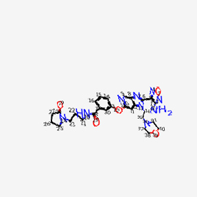 Nc1nonc1-c1nc2cnc(Oc3cccc(C(=O)NCCCN4CCCC4=O)c3)cc2n1CCN1CCOCC1